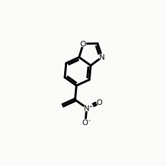 C=C(c1ccc2ocnc2c1)[N+](=O)[O-]